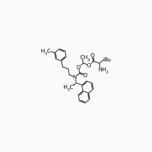 CCC(C)C(N)C(=O)OC(C)OC(=O)N(CCCc1cccc(C)c1)[C@H](C)c1cccc2ccccc12